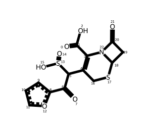 O=C(O)C1=C(C(C(=O)c2ccco2)S(=O)O)CSC2CC(=O)N12